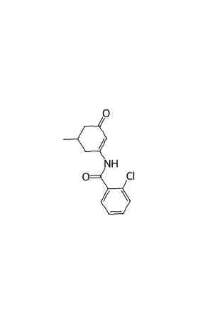 CC1CC(=O)C=C(NC(=O)c2ccccc2Cl)C1